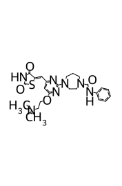 CN(C)CCOc1cc(/C=C2\SC(=O)NC2=O)nc(N2CCCN(C(=O)Nc3ccccc3)CC2)n1